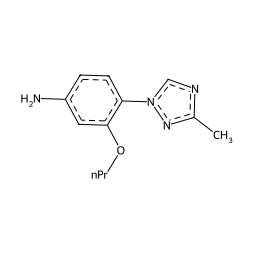 CCCOc1cc(N)ccc1-n1cnc(C)n1